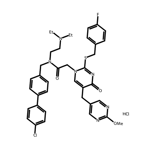 CCN(CC)CCN(Cc1ccc(-c2ccc(Cl)cc2)cc1)C(=O)Cn1cc(Cc2cnc(OC)nc2)c(=O)nc1SCc1ccc(F)cc1.Cl